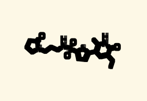 CCc1cc(-c2ccc(S(=O)(=O)NCCCN3CCCC3=O)s2)c(C)[nH]c1=O